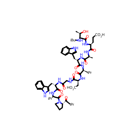 CCC(C)N[C@H](C(=O)N[C@@H](CCC(=O)O)C(=O)N[C@@H](C)C(=O)N[C@@H](Cc1c[nH]c2ccccc12)C(=O)N[C@H](C(=O)N[C@@H](CC(=O)O)C(=O)NCC(=O)N[C@@H](Cc1c[nH]c2ccccc12)C(=O)N[C@H](C(=O)N1CCC[C@H]1C(=O)C(C)C)C(C)C)C(C)C)[C@@H](C)O